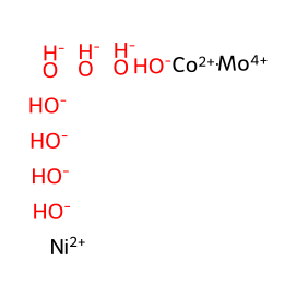 [Co+2].[Mo+4].[Ni+2].[OH-].[OH-].[OH-].[OH-].[OH-].[OH-].[OH-].[OH-]